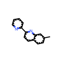 Cc1ccc2ccc(-c3ccccn3)nc2c1